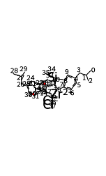 CC(C)Cc1ccc2c(c1)C1=C(C(C)C)[CH]2[Zr+2][CH]2C(C(C)C)=C(c3cc(CC(C)C)ccc32)[Si]1(C)C.[Cl-].[Cl-]